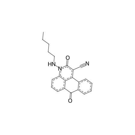 CCCCCNn1c(=O)c(C#N)c2c3c(cccc31)C(=O)c1ccccc1-2